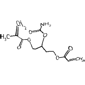 C=CC(=O)OCCC(COC(=O)C(=C)C)OC(N)=O